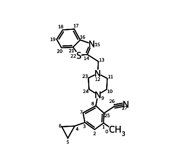 Cc1cc(C2CC2)cc(N2CCN(Cc3nc4ccccc4s3)CC2)c1C#N